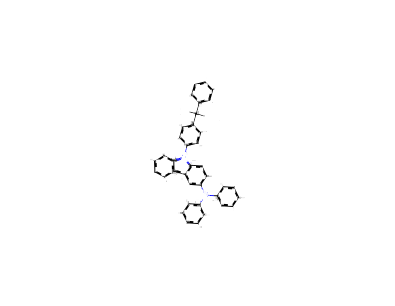 CC(C)(c1ccccc1)c1ccc(-n2c3ccccc3c3cc(N(c4ccccc4)c4ccccc4)ccc32)cc1